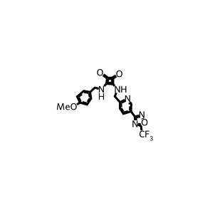 COc1ccc(CNc2c(NCc3ccc(-c4noc(C(F)(F)F)n4)cn3)c(=O)c2=O)cc1